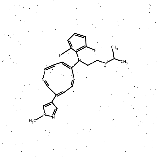 CC(C)NCCN(c1cccncc(-c2cnn(C)c2)ccn1)c1c(F)cccc1F